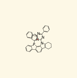 c1ccc(-c2nc(-c3ccccc3)nc(-n3c4c(c5ccc6c7ccccc7p(-c7ccccc7)c6c53)CCCC4)n2)cc1